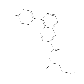 CC(=O)NCC[C@@H](C)NC(=O)c1cnc2c(C3=CCC(C(F)(F)F)CC3)cccc2c1